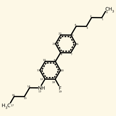 CCCCCc1ccc(-c2ccc(NCCCC)c(F)c2)cc1